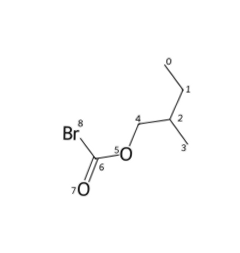 CCC(C)COC(=O)Br